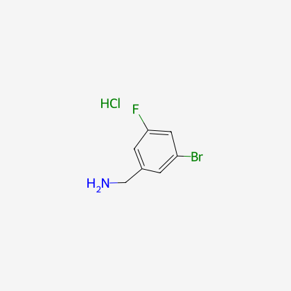 Cl.NCc1cc(F)cc(Br)c1